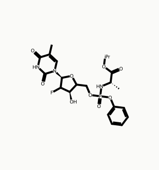 Cc1cn([C@H]2OC(COP(=O)(N[C@@H](C)C(=O)OC(C)C)Oc3ccccc3)[C@@H](O)C2F)c(=O)[nH]c1=O